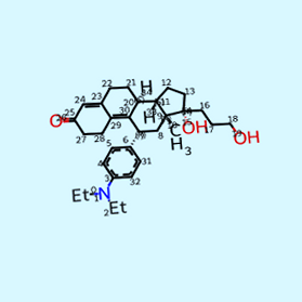 CCN(CC)c1ccc([C@H]2C[C@]3(C)[C@@H](CC[C@@]3(O)CCCO)[C@@H]3CCC4=CC(=O)CCC4=C32)cc1